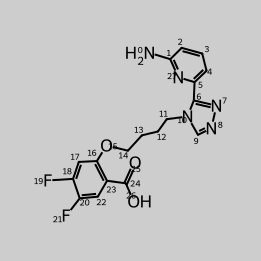 Nc1cccc(-c2nncn2CCCCOc2cc(F)c(F)cc2C(=O)O)n1